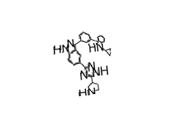 O=C(NC1CC1)c1cccc(-c2n[nH]c3ccc(-c4n[nH]c(C5CCNC5)n4)cc23)c1